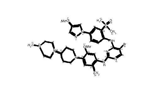 COc1cnn(-c2ccc(Nc3nc(Nc4cc(OC)c(N5CCC(N6CCN(C)CC6)CC5)cc4C)ncc3Br)c(P(C)(C)=O)c2)c1